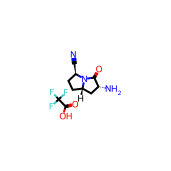 N#C[C@@H]1CC[C@H]2C[C@@H](N)C(=O)N21.O=C(O)C(F)(F)F